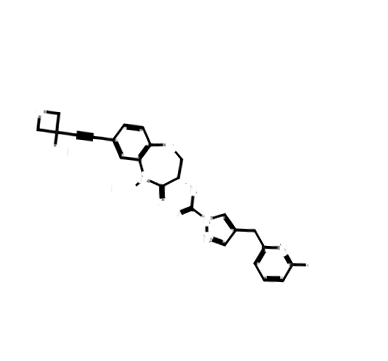 Cc1cccc(Cc2cnn(C(=O)N[C@H]3COc4ccc(C#CC5(O)COC5)cc4N(C)C3=O)c2)n1